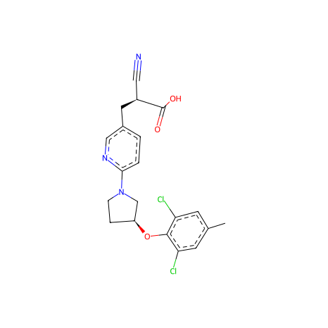 Cc1cc(Cl)c(O[C@H]2CCN(c3ccc(C[C@@H](C#N)C(=O)O)cn3)C2)c(Cl)c1